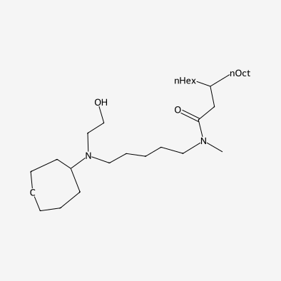 CCCCCCCCC(CCCCCC)CC(=O)N(C)CCCCCN(CCO)C1CCCCCC1